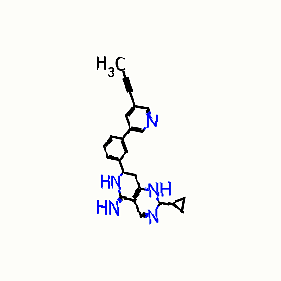 CC#Cc1cncc(-c2cccc(C3CC4=C(C=NC(C5CC5)N4)C(=N)N3)c2)c1